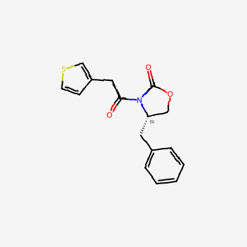 O=C(Cc1ccsc1)N1C(=O)OC[C@@H]1Cc1ccccc1